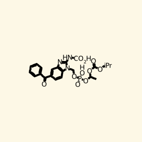 CC(C)OC(=O)OC(C)OP(=O)(O)OCn1c(NC(=O)O)nc2cc(C(=O)c3ccccc3)ccc21